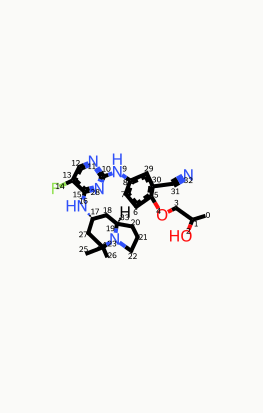 CC(O)COc1ccc(Nc2ncc(F)c(N[C@@H]3C[C@H]4CCCN4C(C)(C)C3)n2)cc1C#N